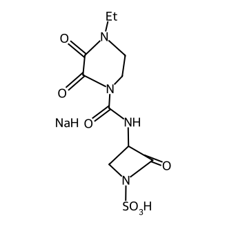 CCN1CCN(C(=O)NC2CN(S(=O)(=O)O)C2=O)C(=O)C1=O.[NaH]